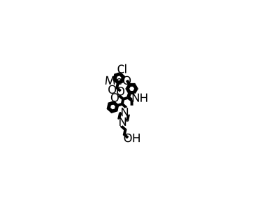 COc1ccc2[nH]c(C)c(C(C(=O)OC(=O)c3ccc(Cl)cc3)C(CN3CCN(CCCO)CC3)c3ccccc3)c2c1